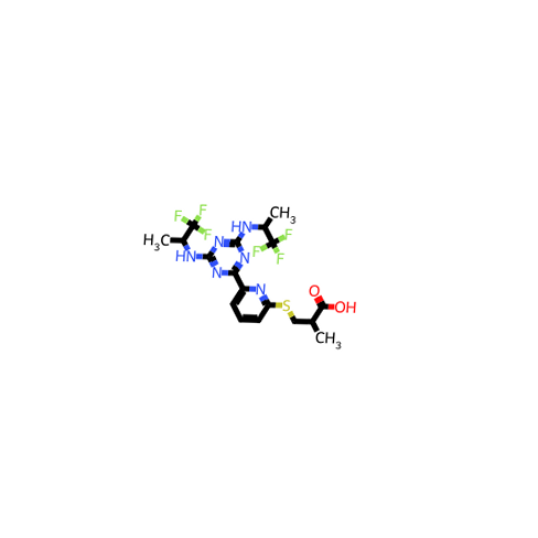 CC(CSc1cccc(-c2nc(NC(C)C(F)(F)F)nc(NC(C)C(F)(F)F)n2)n1)C(=O)O